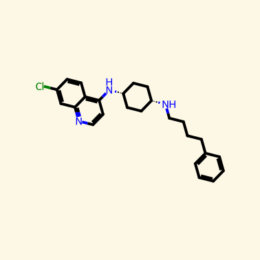 Clc1ccc2c(N[C@H]3CC[C@@H](NCCCCc4ccccc4)CC3)ccnc2c1